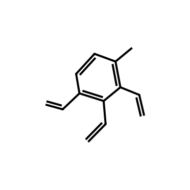 C=Cc1ccc(C)c(C=C)c1C=C